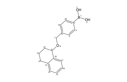 OB(O)c1ccc(COC2CCCc3ccccc32)cc1